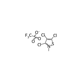 C[n+]1sc(Cl)c(Cl)c1Cl.O=S(=O)([O-])C(F)(F)F